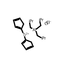 C1=CC[C]([Ti+2][C]2=CC=CC2)=C1.CC(C)[CH2][Al]([CH2]C(C)C)[CH2]C(C)C.[Cl-].[Cl-]